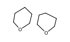 C1CCOCC1.C1CCOCC1